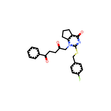 O=C(CCC(=O)c1ccccc1)Cn1c(SCc2ccc(F)cc2)nc(=O)c2c1CCC2